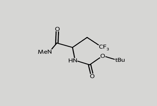 CNC(=O)C(CC(F)(F)F)NC(=O)OC(C)(C)C